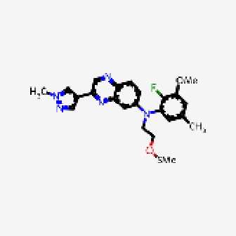 COc1cc(C)cc(N(CCOSC)c2ccc3ncc(-c4cnn(C)c4)nc3c2)c1F